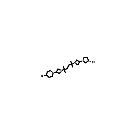 CC(C)(CCC(C)(C)N1CC(N2CC[C@@H](O)C2)C1)N1CC(N2CCC(O)CC2)C1